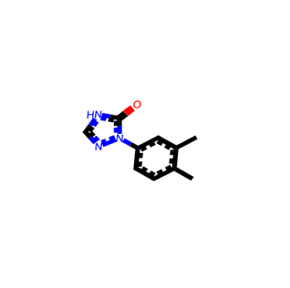 Cc1ccc(-n2nc[nH]c2=O)cc1C